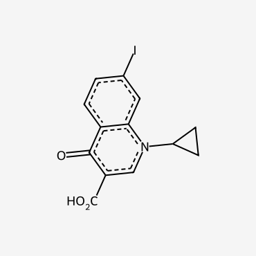 O=C(O)c1cn(C2CC2)c2cc(I)ccc2c1=O